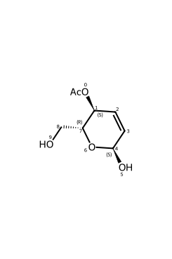 CC(=O)O[C@H]1C=C[C@@H](O)O[C@@H]1CO